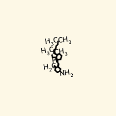 C=C1CC[C@H](N)C/C1=C/C=C1\CCC[C@]2(C)[C@@H]([C@H](C)CCCC(C)C)CC[C@@H]12